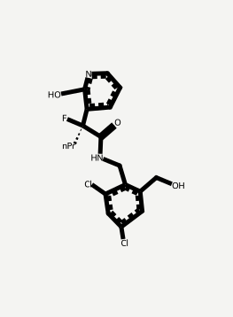 CCC[C@@](F)(C(=O)NCc1c(Cl)cc(Cl)cc1CO)c1cccnc1O